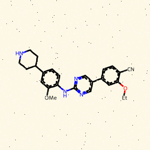 CCOc1cc(-c2cnc(Nc3ccc(C4CCNCC4)cc3OC)nc2)ccc1C#N